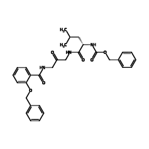 CC(C)C[C@H](NC(=O)OCc1ccccc1)C(=O)NCC(=O)CNC(=O)c1ccccc1OCc1ccccc1